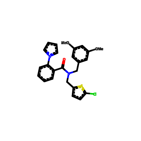 COc1cc(CN(Cc2ccc(Cl)s2)C(=O)c2ccccc2-n2cccc2)cc(OC)c1